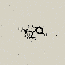 Cc1ccc(Cl)cc1C(NC(N)=S)C(=O)O